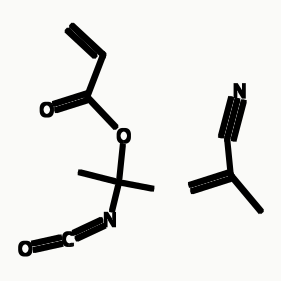 C=C(C)C#N.C=CC(=O)OC(C)(C)N=C=O